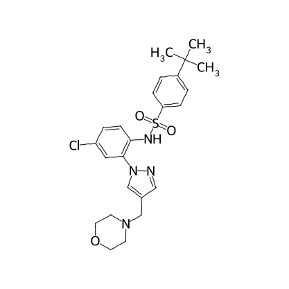 CC(C)(C)c1ccc(S(=O)(=O)Nc2ccc(Cl)cc2-n2cc(CN3CCOCC3)cn2)cc1